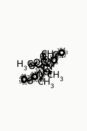 CCCN(Cc1ccc(Oc2ccccc2)cc1)C(=O)C1C(CC(=O)OC)C(CC(=O)OC)C1C(=O)N(CCC)Cc1ccc(Oc2ccccc2)cc1